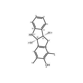 Cc1cc2c(c(C)c1O)C[C@@H]1c3ccccc3N[C@H]21